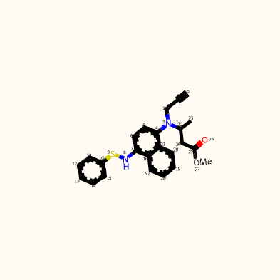 C#CCN(c1ccc(NSc2ccccc2)c2ccccc12)C(C)CC(=O)OC